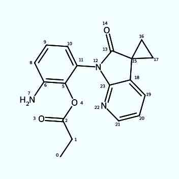 CCC(=O)Oc1c(N)cccc1N1C(=O)C2(CC2)c2cccnc21